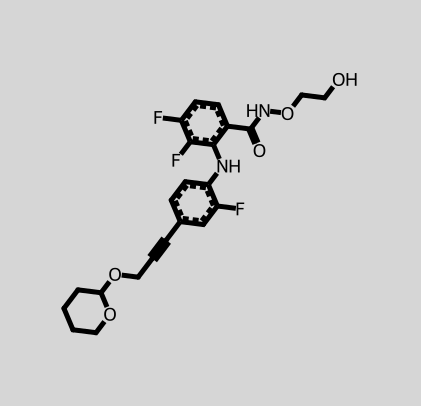 O=C(NOCCO)c1ccc(F)c(F)c1Nc1ccc(C#CCOC2CCCCO2)cc1F